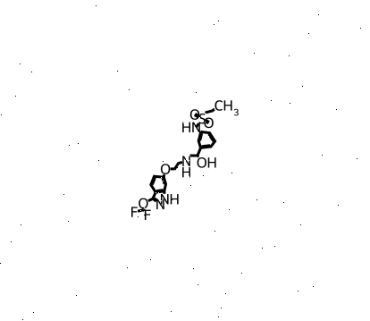 CCCS(=O)(=O)Nc1cccc([C@@H](O)CNCCOc2ccc3c(OC(F)F)n[nH]c3c2)c1